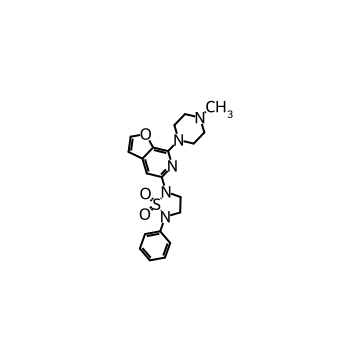 CN1CCN(c2nc(N3CCN(c4ccccc4)S3(=O)=O)cc3ccoc23)CC1